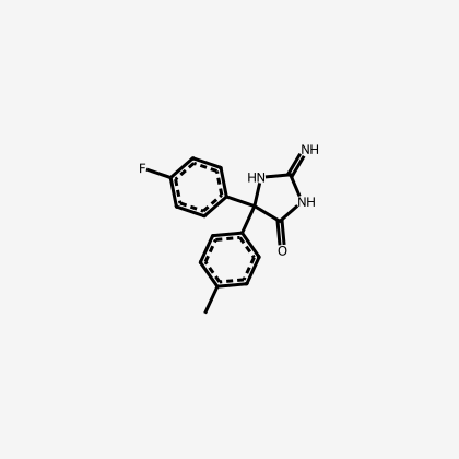 Cc1ccc(C2(c3ccc(F)cc3)NC(=N)NC2=O)cc1